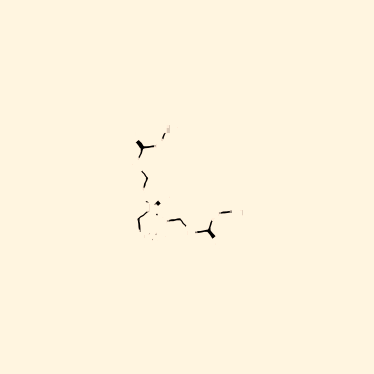 COCP(=O)(OCOC(=O)OC(C)C)OCOC(=O)OC(C)C